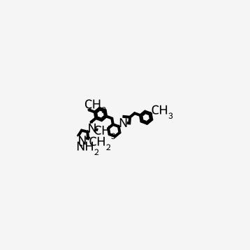 C=Cc1ccc(CC2CCCCC2N2CC(Cc3cccc(C)c3)C2)cc1CN(C)C1CCN(N)C1=C